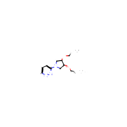 COCOC1CN(c2cc[c]nn2)CC1OCOC